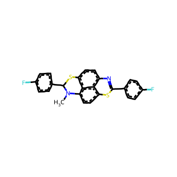 CN1c2ccc3c4c(ccc(c24)SC1c1ccc(F)cc1)N=C(c1ccc(F)cc1)S3